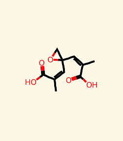 CC(=CC1(C=C(C)C(=O)O)CO1)C(=O)O